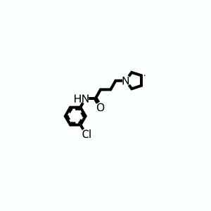 O=C(CCCN1C[CH]CC1)Nc1cccc(Cl)c1